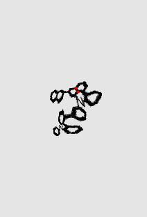 c1ccc(-c2ccccc2N(c2cccc(-c3ccc4ccccc4c3)c2)c2cccc(-c3cccc4c3c3ccccc3n4-c3ccccc3)c2)cc1